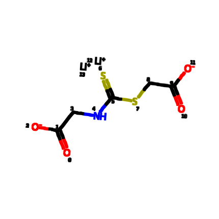 O=C([O-])CNC(=S)SCC(=O)[O-].[Li+].[Li+]